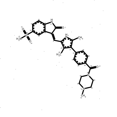 Cc1[nH]c(/C=C2\C(=O)Nc3ccc(S(N)(=O)=O)cc32)c(C)c1-c1ccc(C(=O)N2CCN(C)CC2)cc1